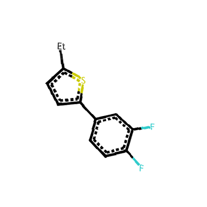 CCc1ccc(-c2ccc(F)c(F)c2)s1